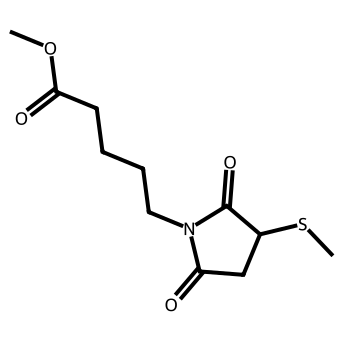 COC(=O)CCCCN1C(=O)CC(SC)C1=O